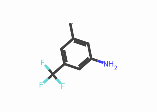 [CH2]c1cc(N)cc(C(F)(F)F)c1